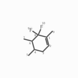 CC1=CCC(C)C(C)C1(F)F